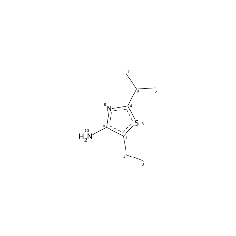 CCc1sc(C(C)C)nc1N